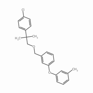 Cc1cccc(Oc2cccc(COCC(C)(C)c3ccc(Cl)cc3)c2)c1